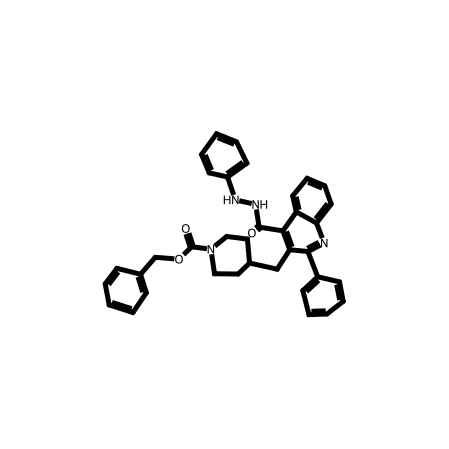 O=C(NNc1ccccc1)c1c(CC2CCN(C(=O)OCc3ccccc3)CC2)c(-c2ccccc2)nc2ccccc12